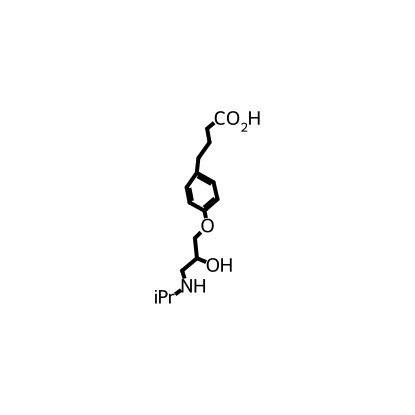 CC(C)NCC(O)COc1ccc(CCCC(=O)O)cc1